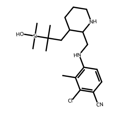 Cc1c(NCC2NCCCC2CC(C)(C)[Si](C)(C)O)ccc(C#N)c1Cl